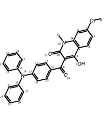 COc1ccc2c(O)c(C(=O)c3ccc(N(c4ccccc4)c4ccccc4)cc3)c(=O)n(C)c2c1